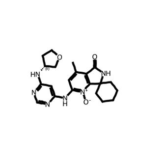 Cc1cc(Nc2cc(N[C@@H]3CCOC3)ncn2)[n+]([O-])c2c1C(=O)NC21CCCCC1